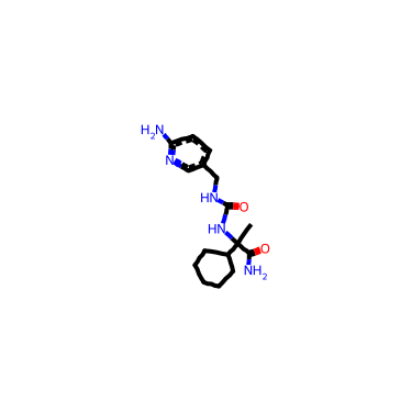 CC(NC(=O)NCc1ccc(N)nc1)(C(N)=O)C1CCCCC1